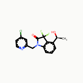 C[C@H](O)c1cccc2c1C(F)(F)C(=O)N2Cc1cc(Cl)ccn1